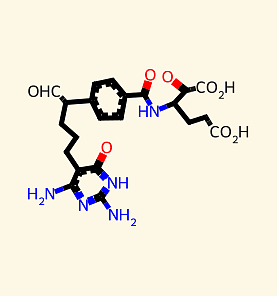 Nc1nc(N)c(CCCC(C=O)c2ccc(C(=O)NC(CCC(=O)O)C(=O)C(=O)O)cc2)c(=O)[nH]1